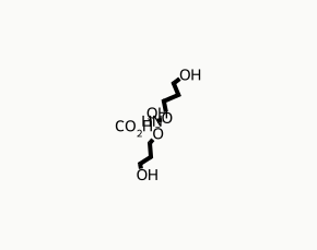 O=C(O)O.OCCCONOCCCO